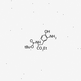 CCOC(=O)C(Cc1ccc(O)c(N)c1)NC(=O)OC(C)(C)C